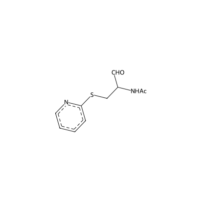 CC(=O)NC(C=O)CSc1ccccn1